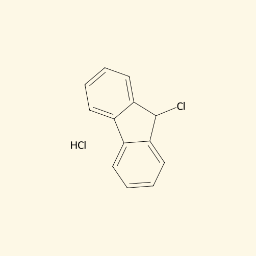 Cl.ClC1c2ccccc2-c2ccccc21